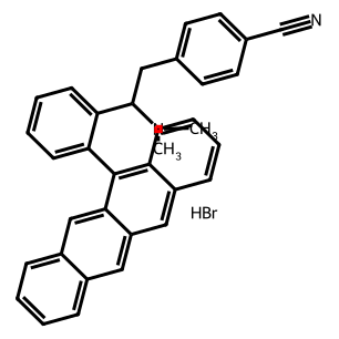 Br.CN(C)C(Cc1ccc(C#N)cc1)c1ccccc1-c1c2ccccc2cc2cc3ccccc3cc12